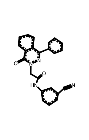 N#Cc1cccc(NC(=O)Cn2nc(-c3ccccc3)c3ccccc3c2=O)c1